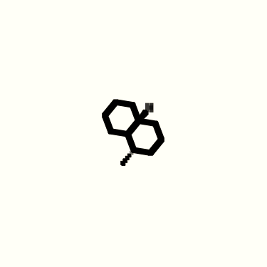 C[C@H]1CCC[C@H]2CCCCC21